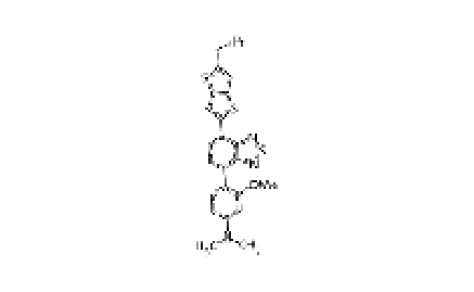 COc1cc(N(C)C)ccc1-c1ccc(-c2cc3sc(CC(C)C)cc3s2)c2nsnc12